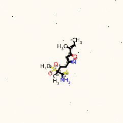 C/C=C(\C)c1cc(CCC(C)(C(N)=S)S(C)(=O)=O)no1